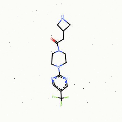 O=C(CC1CNC1)N1CCN(c2ncc(C(F)(F)F)cn2)CC1